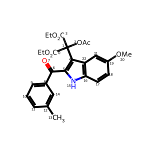 CCOC(=O)C(OC(C)=O)(C(=O)OCC)c1c(C(=O)c2cccc(C)c2)[nH]c2ccc(OC)cc12